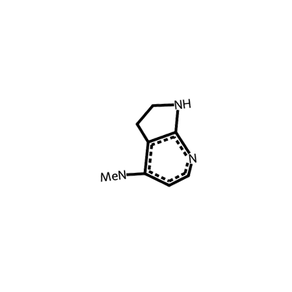 CNc1ccnc2c1CCN2